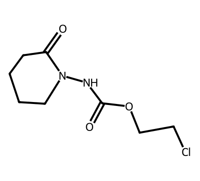 O=C(NN1CCCCC1=O)OCCCl